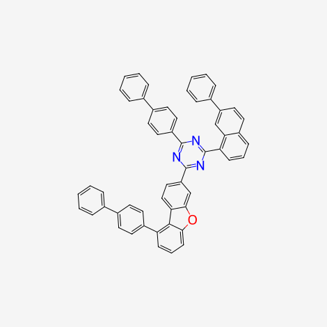 c1ccc(-c2ccc(-c3nc(-c4ccc5c(c4)oc4cccc(-c6ccc(-c7ccccc7)cc6)c45)nc(-c4cccc5ccc(-c6ccccc6)cc45)n3)cc2)cc1